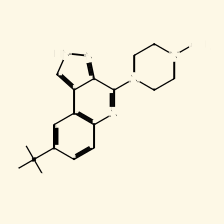 CN1CCN(c2nc3ccc(C(F)(F)F)cc3c3c[nH]nc23)CC1